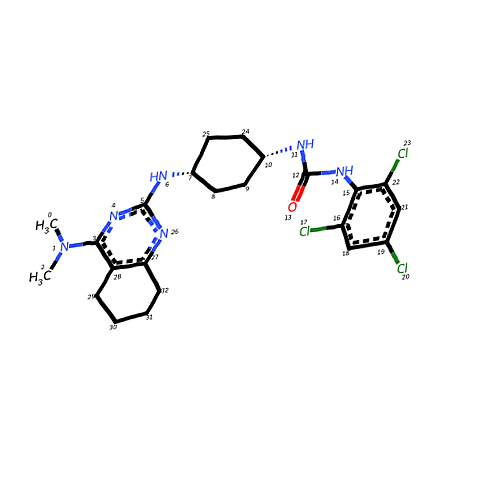 CN(C)c1nc(N[C@H]2CC[C@@H](NC(=O)Nc3c(Cl)cc(Cl)cc3Cl)CC2)nc2c1CCCC2